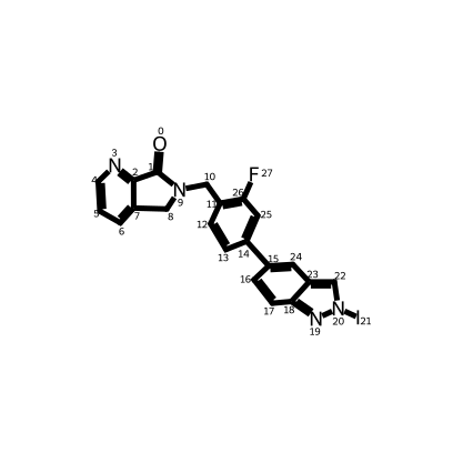 O=C1c2ncccc2CN1Cc1ccc(-c2ccc3nn(I)cc3c2)cc1F